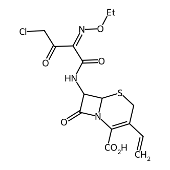 C=CC1=C(C(=O)O)N2C(=O)C(NC(=O)/C(=N\OCC)C(=O)CCl)C2SC1